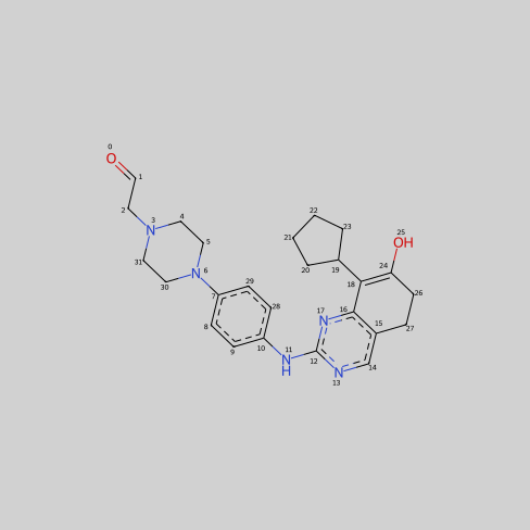 O=CCN1CCN(c2ccc(Nc3ncc4c(n3)C(C3CCCC3)=C(O)CC4)cc2)CC1